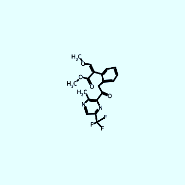 CO/C=C(\C(=O)OC)c1ccccc1CC(=O)c1nc(C(F)(F)F)cnc1C